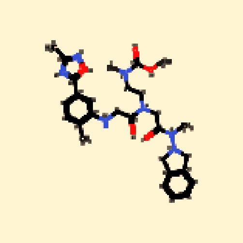 CCN(CCN(CC(=O)N(C)N1Cc2ccccc2C1)C(=O)CNc1cc(-c2nc(C)no2)ccc1C)C(=O)OC(C)(C)C